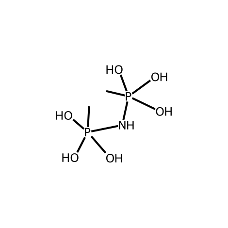 CP(O)(O)(O)NP(C)(O)(O)O